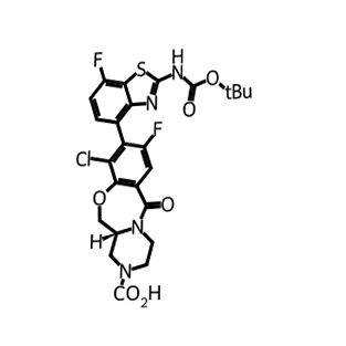 CC(C)(C)OC(=O)Nc1nc2c(-c3c(F)cc4c(c3Cl)OC[C@H]3CN(C(=O)O)CCN3C4=O)ccc(F)c2s1